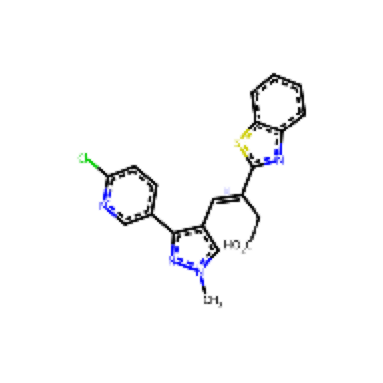 Cn1cc(/C=C(\CC(=O)O)c2nc3ccccc3s2)c(-c2ccc(Cl)nc2)n1